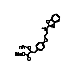 CCCOC(Cc1ccc(OCCN(C)c2nc3ccccc3o2)cc1)C(=O)OC